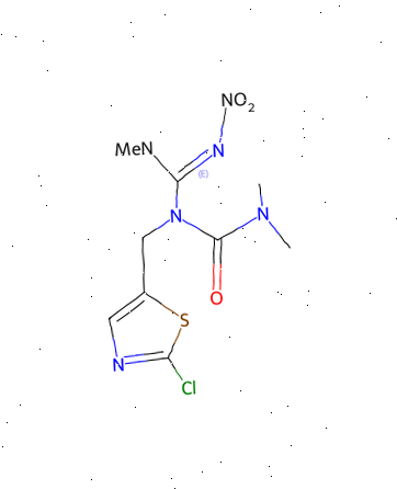 CN/C(=N\[N+](=O)[O-])N(Cc1cnc(Cl)s1)C(=O)N(C)C